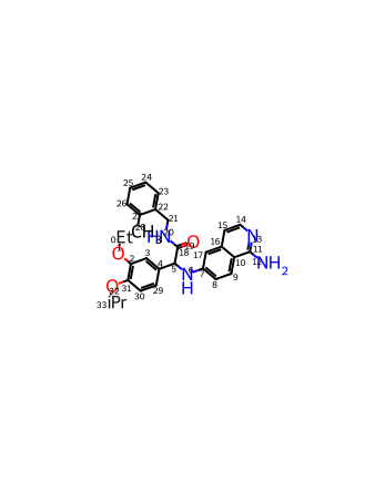 CCOc1cc(C(Nc2ccc3c(N)nccc3c2)C(=O)NCc2ccccc2C)ccc1OC(C)C